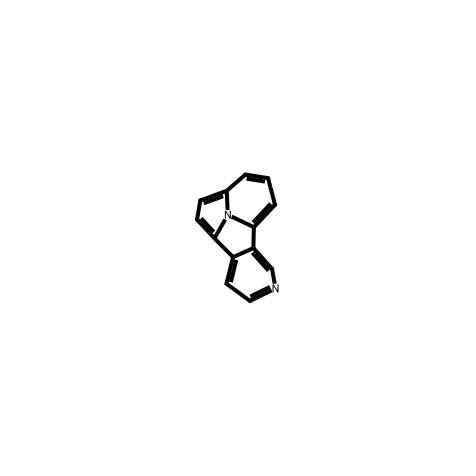 c1cc2ccc3c4ccncc4c(c1)n23